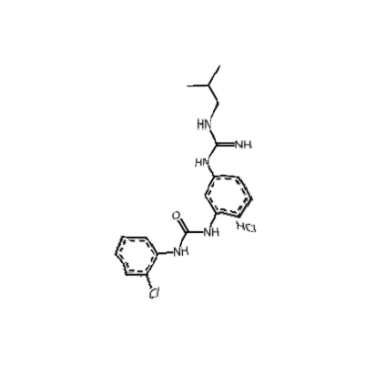 CC(C)CNC(=N)Nc1cccc(NC(=O)Nc2ccccc2Cl)c1.Cl